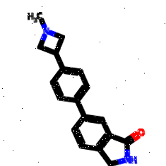 CN1CC(c2ccc(-c3ccc4c(c3)C(=O)NC4)cc2)C1